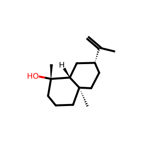 C=C(C)[C@@H]1CC[C@@]2(C)CCC[C@](C)(O)[C@@H]2C1